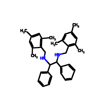 Cc1cc(C)c(CNC(c2ccccc2)C(NCc2c(C)cc(C)cc2C)c2ccccc2)c(C)c1